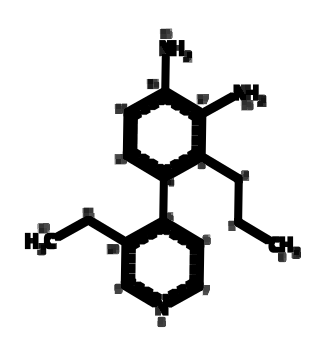 CCCc1c(-c2ccncc2CC)ccc(N)c1N